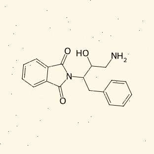 NCC(O)C(Cc1ccccc1)N1C(=O)c2ccccc2C1=O